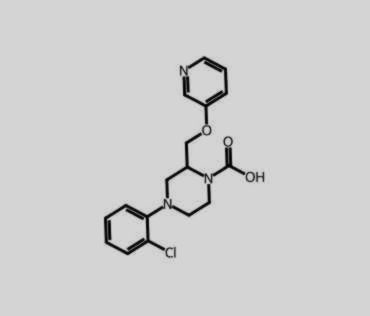 O=C(O)N1CCN(c2ccccc2Cl)CC1COc1cccnc1